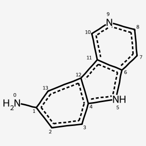 Nc1ccc2[nH]c3ccncc3c2c1